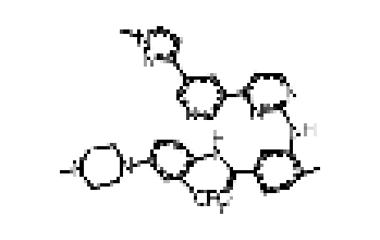 Cc1ccc(C(=O)Nc2ccc(N3CCN(C)CC3)cc2C(F)(F)F)cc1Nc1nccc(-c2cncc(-c3ccn(C)n3)c2)n1